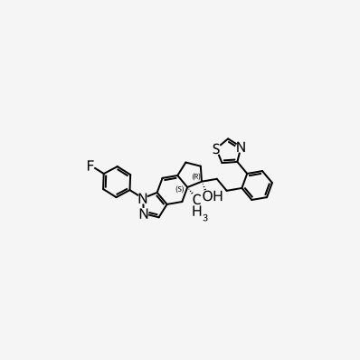 C[C@]12Cc3cnn(-c4ccc(F)cc4)c3C=C1CC[C@@]2(O)CCc1ccccc1-c1cscn1